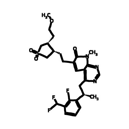 COCC[C@H]1CS(=O)(=O)C[C@H]1CCc1cc2c(C[C@H](C)c3cccc(C(F)F)c3F)ncnc2n(C)c1=O